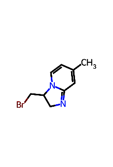 CC1=CC2=NCC(CBr)N2C=C1